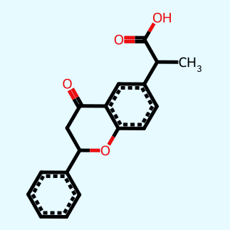 CC(C(=O)O)c1ccc2c(c1)C(=O)CC(c1ccccc1)O2